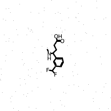 CNC(CCC(=O)O)c1cccc(C(F)F)c1